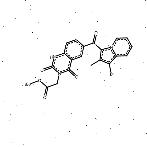 Cc1c(Br)c2ccccn2c1C(=O)c1ccc2[nH]c(=O)n(CC(=O)OC(C)(C)C)c(=O)c2c1